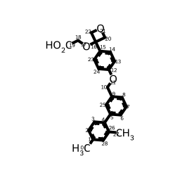 Cc1ccc(-c2cccc(COc3ccc(C4(OCC(=O)O)COC4)cc3)c2)c(C)c1